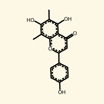 Cc1c(O)c(C)c2oc(-c3ccc(O)cc3)cc(=O)c2c1O